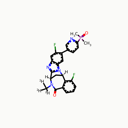 [2H]C([2H])([2H])N1C(=O)c2cccc(F)c2[C@H]2C[C@@H]1c1nc3cc(F)c(-c4ccc(P(C)(C)=O)nc4)cc3n12